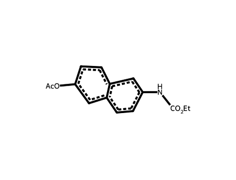 CCOC(=O)Nc1ccc2cc(OC(C)=O)ccc2c1